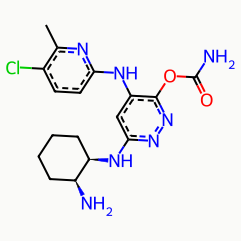 Cc1nc(Nc2cc(N[C@@H]3CCCC[C@@H]3N)nnc2OC(N)=O)ccc1Cl